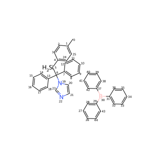 Cc1ccc([SiH2]C(c2ccccc2)(c2ccccc2)n2ccnc2)cc1.c1ccc(B(c2ccccc2)c2ccccc2)cc1